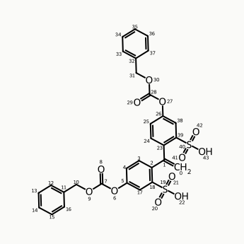 C=C(c1ccc(OC(=O)OCc2ccccc2)cc1S(=O)(=O)O)c1ccc(OC(=O)OCc2ccccc2)cc1S(=O)(=O)O